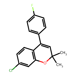 CC1(C)C=C(c2ccc(F)cc2)c2ccc(Cl)cc2O1